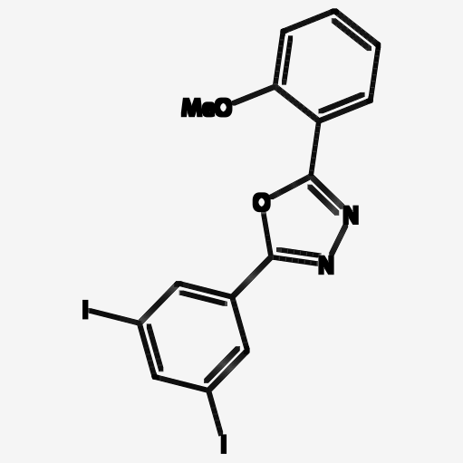 COc1ccccc1-c1nnc(-c2cc(I)cc(I)c2)o1